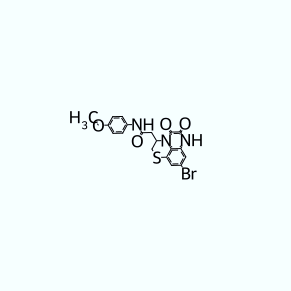 COc1ccc(NC(=O)CC2CSc3cc(Br)cc4[nH]c(=O)c(=O)n2c34)cc1